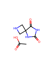 CC(=O)O.O=C1NC(=O)C2(CNC2)N1